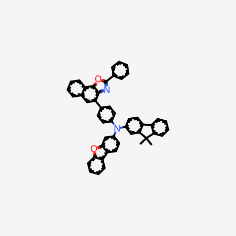 CC1(C)c2ccccc2-c2ccc(N(c3ccc(-c4cc5ccccc5c5oc(-c6ccccc6)nc45)cc3)c3ccc4c(c3)oc3ccccc34)cc21